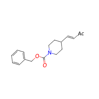 CC(=O)/C=C/C1CCN(C(=O)OCc2ccccc2)CC1